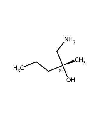 CCC[C@@](C)(O)CN